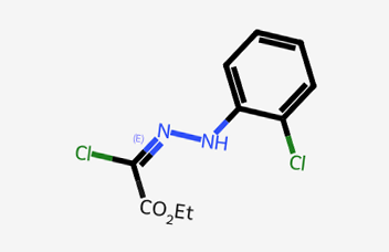 CCOC(=O)/C(Cl)=N\Nc1ccccc1Cl